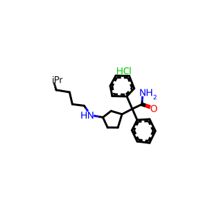 CC(C)CCCCNC1CCC(C(C(N)=O)(c2ccccc2)c2ccccc2)C1.Cl